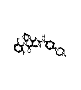 CN1CCN(c2ccc(Nc3ncc4c(=O)n(-c5c(F)cccc5F)c5nccn5c4n3)cc2)CC1